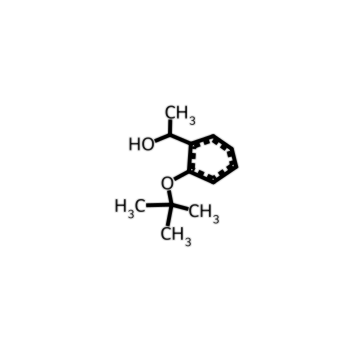 CC(O)c1ccccc1OC(C)(C)C